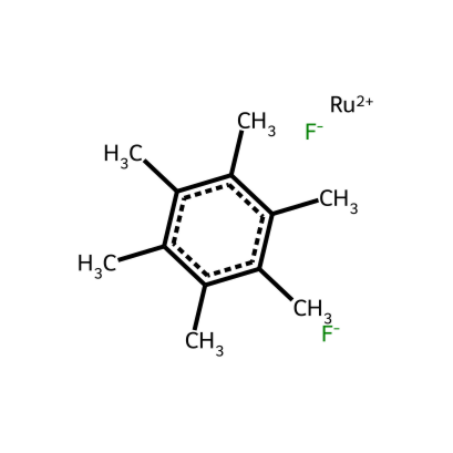 Cc1c(C)c(C)c(C)c(C)c1C.[F-].[F-].[Ru+2]